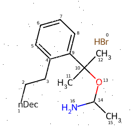 Br.CCCCCCCCCCCCc1ccccc1C(C)(C)OC(C)N